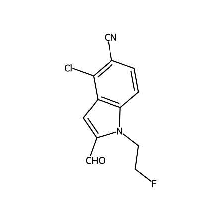 N#Cc1ccc2c(cc(C=O)n2CCF)c1Cl